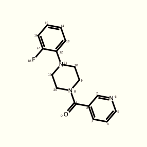 O=C(c1cccnc1)N1CCN(c2ccccc2F)CC1